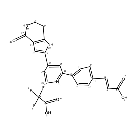 O=C(O)C(F)(F)F.O=C(O)C=Cc1ccc(-c2cc(-c3cc4c([nH]3)CCNC4=O)ccn2)cc1